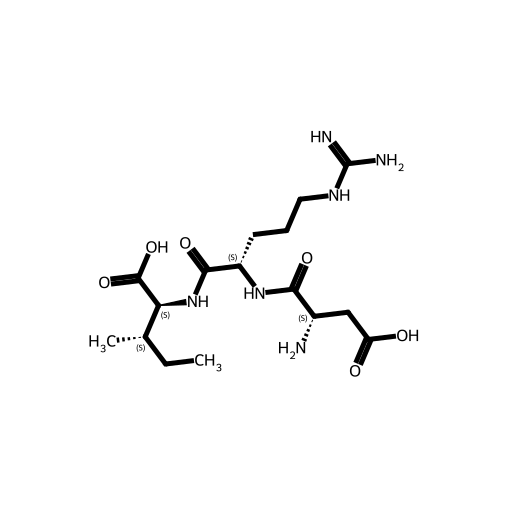 CC[C@H](C)[C@H](NC(=O)[C@H](CCCNC(=N)N)NC(=O)[C@@H](N)CC(=O)O)C(=O)O